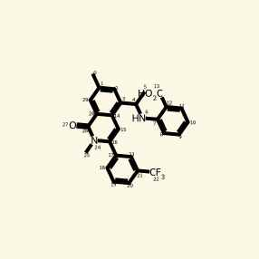 Cc1cc(C(C)Nc2ccccc2C(=O)O)c2cc(-c3cccc(C(F)(F)F)c3)n(C)c(=O)c2c1